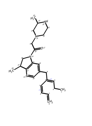 C=C/C=C\C(=C/CC)Cc1cnc2c(c1)N(C(=O)CN1CCNC(C)C1)CC2C